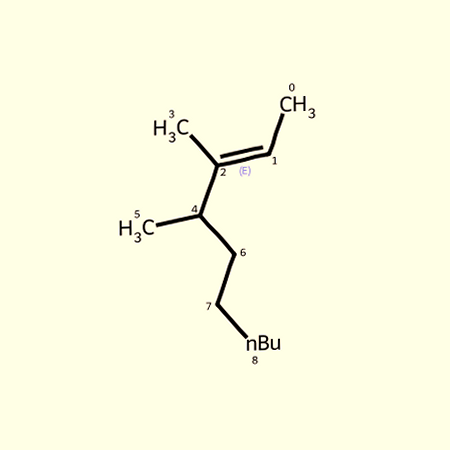 C/C=C(\C)C(C)CCCCCC